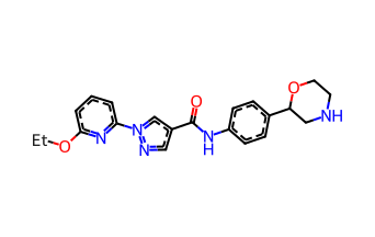 CCOc1cccc(-n2cc(C(=O)Nc3ccc(C4CNCCO4)cc3)cn2)n1